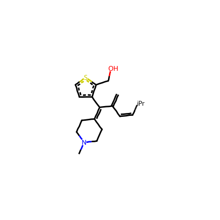 C=C(/C=C\C(C)C)C(=C1CCN(C)CC1)c1ccsc1CO